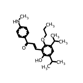 CCCOc1c(C(C)C)cc(C(C)C)c(O)c1C=CC(=O)c1ccc(NC)cc1